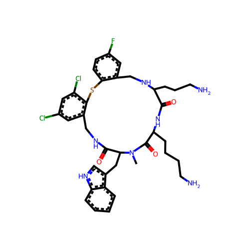 CN1C(=O)C(CCCCN)NC(=O)C(CCCN)NCc2cc(F)ccc2Sc2c(Cl)cc(Cl)cc2CNC(=O)C1Cc1c[nH]c2ccccc12